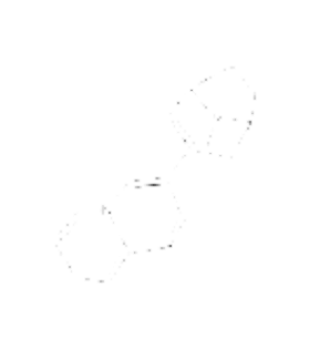 CN1C2C=C(C3=CN4C=CCC=C4C=C3)CC1CC2